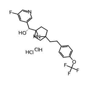 Cl.Cl.O[C@H](c1cncc(F)c1)C12CCC(CCc3ccc(OC(F)(F)F)cc3)(CC1)N2